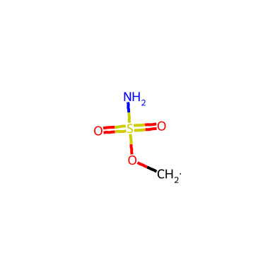 [CH2]OS(N)(=O)=O